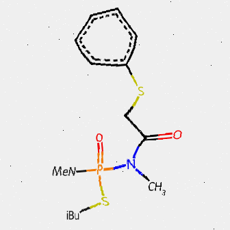 CCC(C)SP(=O)(NC)N(C)C(=O)CSc1ccccc1